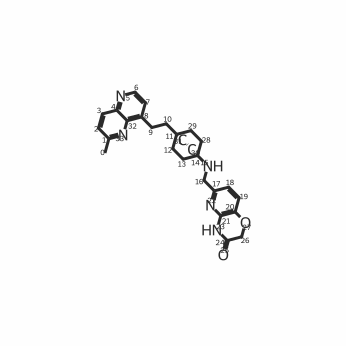 Cc1ccc2nccc(CCC34CCC(NCc5ccc6c(n5)NC(=O)CO6)(CC3)CC4)c2n1